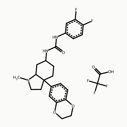 CN1CCC2(c3ccc4c(c3)OCCO4)CCC(NC(=O)Nc3ccc(F)c(F)c3)CC12.O=C(O)C(F)(F)F